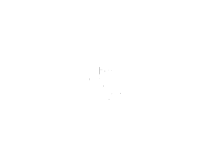 [Fe+2].[O-2].[P+3].[Zr+4]